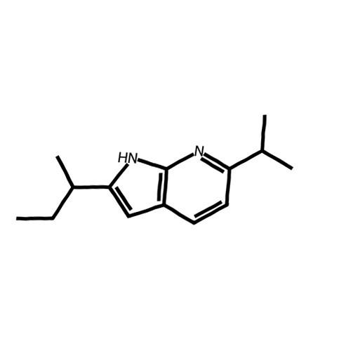 CCC(C)c1cc2ccc(C(C)C)nc2[nH]1